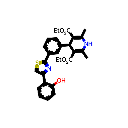 CCOC(=O)C1=C(C)NC(C)=C(C(=O)OCC)C1c1cccc(-c2nc(-c3ccccc3O)cs2)c1